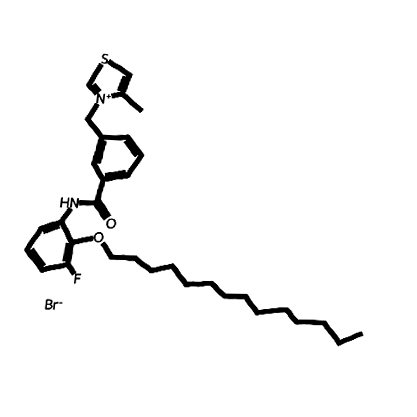 CCCCCCCCCCCCCCOc1c(F)cccc1NC(=O)c1cccc(C[n+]2cscc2C)c1.[Br-]